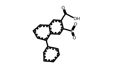 O=C(O)c1cc2cccc(-c3ccccc3)c2cc1I(=O)=O